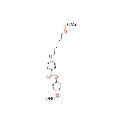 COSOCCCCCCOc1ccc(C(=O)Oc2ccc(OC=O)cc2)cc1